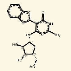 Nc1nc(N[C@@H]2C[C@H](CO)[C@@H](O)[C@H]2O)c(-c2nc3ccccc3s2)c(=O)[nH]1